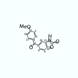 COc1ccc(C(=O)c2ccc3oc(=O)[nH]c3c2)cc1